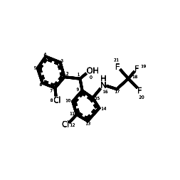 OC(c1ccccc1Cl)c1cc(Cl)ccc1NCC(F)(F)F